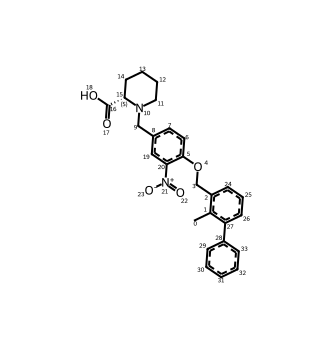 Cc1c(COc2ccc(CN3CCCC[C@H]3C(=O)O)cc2[N+](=O)[O-])cccc1-c1ccccc1